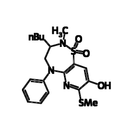 CCCCC1CN(c2ccccc2)c2nc(SC)c(O)cc2S(=O)(=O)N1C